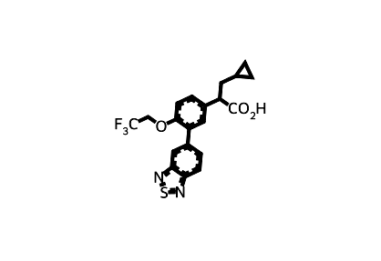 O=C(O)C(CC1CC1)c1ccc(OCC(F)(F)F)c(-c2ccc3nsnc3c2)c1